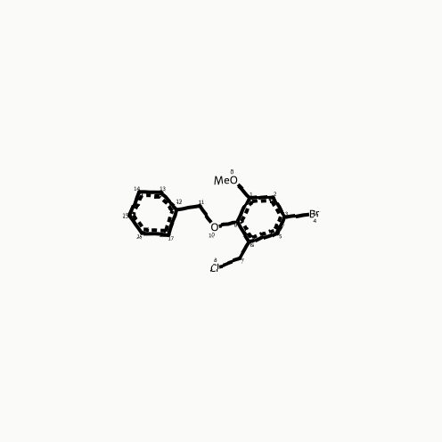 COc1cc(Br)cc(CCl)c1OCc1ccccc1